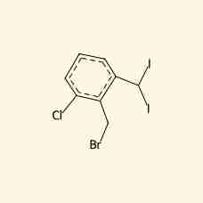 Clc1cccc(C(I)I)c1CBr